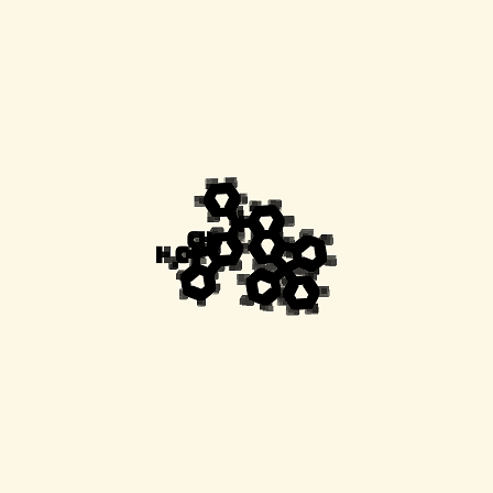 CC1(C)c2ccccc2-c2ccc(N(c3ccccc3)c3cccc4c5c(ccc34)C(c3ccccc3)(c3ccccc3)c3ccccc3-5)cc21